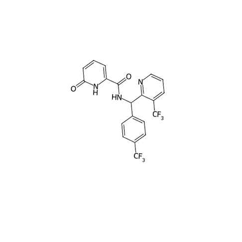 O=C(NC(c1ccc(C(F)(F)F)cc1)c1ncccc1C(F)(F)F)c1cccc(=O)[nH]1